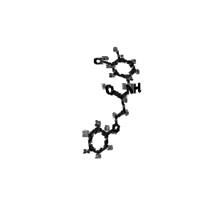 Cc1ccc(NC(=O)CCOc2ccccc2)cc1Cl